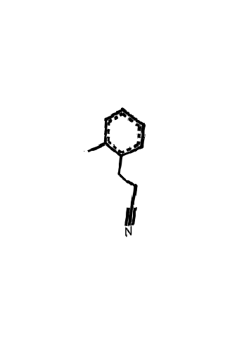 [CH2]c1ccccc1CCC#N